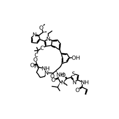 C=CC(=O)Nc1csc(C(=O)N(C)[C@H](C(=O)N[C@H]2Cc3cc(O)cc(c3)-c3ccc4c(c3)c(c(-c3cccnc3[C@H](C)OC)n4CC)CC(C)(C)COC(=O)[C@@H]3CCCN(N3)C2=O)C(C)C)n1